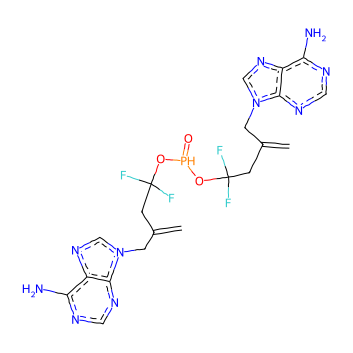 C=C(Cn1cnc2c(N)ncnc21)CC(F)(F)O[PH](=O)OC(F)(F)CC(=C)Cn1cnc2c(N)ncnc21